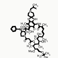 C=C1C2=NC3(CCN(CC(C)I)CC3)NC2=C(NC(=O)/C(C)=C\C=C\[C@H](C)[C@H](O)[C@@H](C)[C@@H](O)[C@@H](C)[C@H](OC(=O)CC(=O)N2CCC(N(C)c3ccccc3)CC2)[C@H](C)[C@H](/C=C/OC(C)(C)O)OC)C(=O)/C1=C(\O)C(C)(C)O